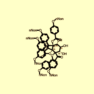 CCCCCCCCCOc1ccc(C(=O)O[C@@]2(C(=O)c3ccc(OCCCCCCCCC)cc3)[C@@](OC(=O)c3ccc(OCCCCCCCCC)cc3)(C(=O)c3ccc(OCCCCCCCCC)cc3)[C@@H](O)[C@H](O)[C@@H](O)[C@@]2(OC(=O)c2ccc(OCCCCCCCCC)cc2)C(=O)c2ccc(OCCCCCCCCC)cc2)cc1